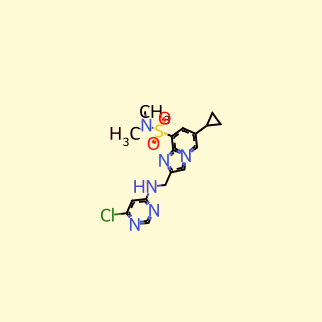 CN(C)S(=O)(=O)c1cc(C2CC2)cn2cc(CNc3cc(Cl)ncn3)nc12